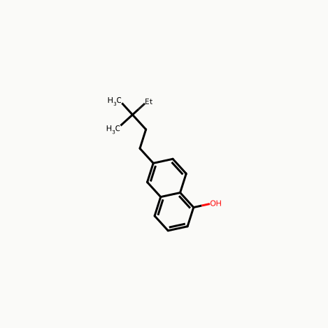 CCC(C)(C)CCc1ccc2c(O)cccc2c1